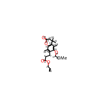 C=CCOC(=O)CCc1c(C)c2c(c(C)c1OCOC)C(C)(C)CC(=O)O2